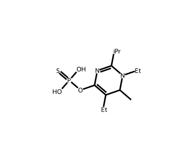 CCC1=C(OP(O)(O)=S)N=C(C(C)C)N(CC)C1C